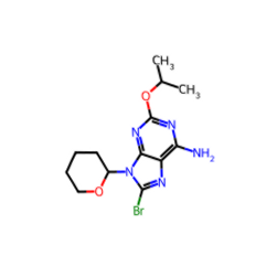 CC(C)Oc1nc(N)c2nc(Br)n(C3CCCCO3)c2n1